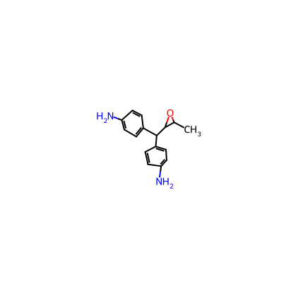 CC1OC1C(c1ccc(N)cc1)c1ccc(N)cc1